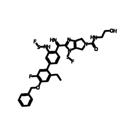 CCc1cc(OCc2ccccc2)c(F)cc1-c1ccc(C(=N)c2nc3c(n2SF)CN(C(=O)NCCO)C3)c(NSF)c1